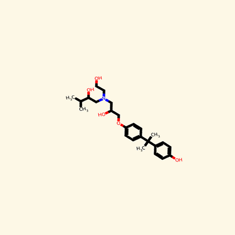 CC(C)C(O)CN(CCO)CC(O)COc1ccc(C(C)(C)c2ccc(O)cc2)cc1